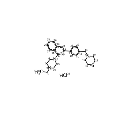 CCN1CCN(c2nc(-c3ccc(CN4CCSCC4)cc3)cc3ccccc23)CC1.Cl